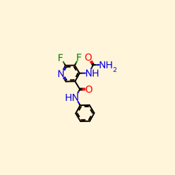 NC(=O)Nc1c(C(=O)Nc2ccccc2)cnc(F)c1F